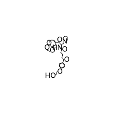 O=C(CCCC(=O)c1ccc(OCCO)cc1)NC(CN1CCCC1)C(=O)C1=CCOC2OCCOC2=C1